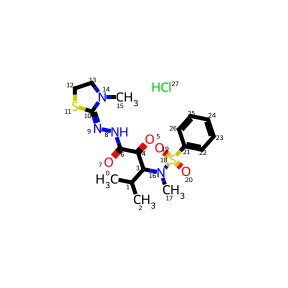 CC(C)C(C(=O)C(=O)NN=C1SCCN1C)N(C)S(=O)(=O)c1ccccc1.Cl